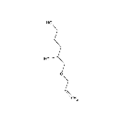 C=CCOCC(O)[CH]CCO